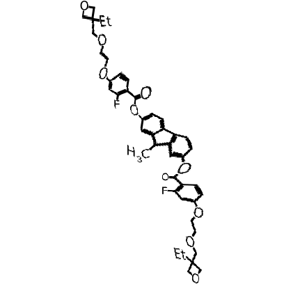 CCC1(COCCOc2ccc(C(=O)Oc3ccc4c(c3)C(C)c3cc(OC(=O)c5ccc(OCCOCC6(CC)COC6)cc5F)ccc3-4)c(F)c2)COC1